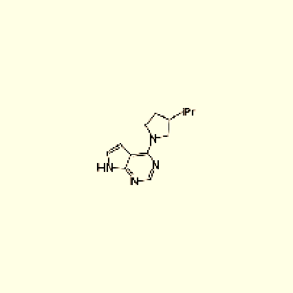 CC(C)C1CCN(c2ncnc3[nH]ccc23)C1